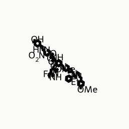 CCc1ccccc1[C@@H]1CN(Cc2ccc(OC)cc2)CCN1C1CC2(CCN(c3ccc(C(=O)NS(=O)(=O)c4cnc(NCC5CCC(C)(O)CC5)c([N+](=O)[O-])c4)c(Oc4cc5c(F)c[nH]c5nc4OC)c3)CC2)C1